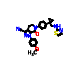 COc1ccc(-n2nc(C#N)c3c2C(=O)N(c2ccc(C4(CNc5nccs5)CC4)cc2)CC3)cc1